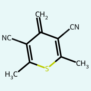 C=C1C(C#N)=C(C)SC(C)=C1C#N